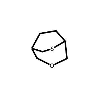 C1CC2COCC1CS2